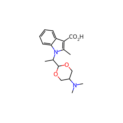 Cc1c(C(=O)O)c2ccccc2n1C(C)C1OCC(N(C)C)CO1